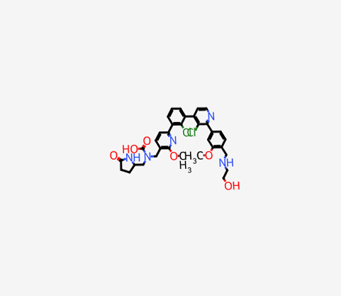 COc1cc(-c2nccc(-c3cccc(-c4ccc(CN(CC5CCC(=O)N5)C(=O)O)c(OC)n4)c3Cl)c2Cl)ccc1CNCCO